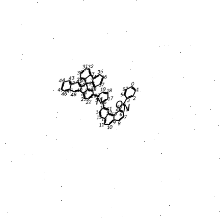 c1ccc(-c2nc3ccc4ccc5ccc(-c6cccc(-c7ccc8c(c7)C7(c9ccccc9-c9ccccc97)c7cc9ccccc9cc7-8)n6)cc5c4c3o2)cc1